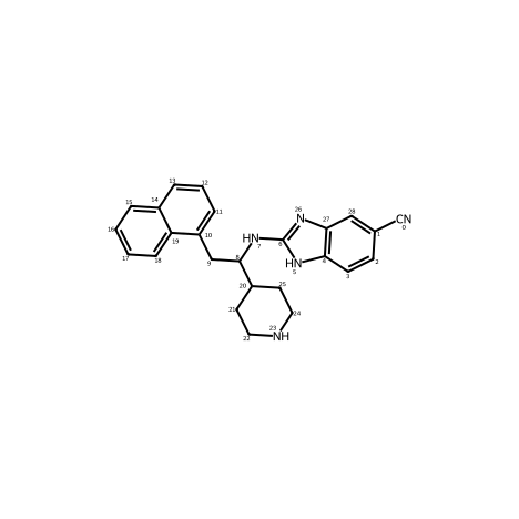 N#Cc1ccc2[nH]c(NC(Cc3cccc4ccccc34)C3CCNCC3)nc2c1